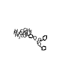 CC1(C)OB(c2ccc(OC[C@@H](COCc3ccccc3)OCc3ccccc3)cc2F)OC1(C)C